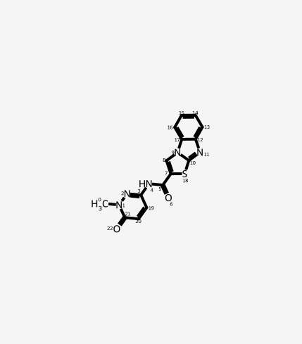 Cn1nc(NC(=O)c2cn3c(nc4ccccc43)s2)ccc1=O